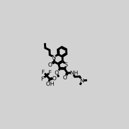 CCCCn1c(=O)c2c(OC)c(C(=O)NCCN(C)C)sc2c2ccccc21.O=C(O)C(F)(F)F